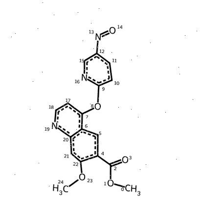 COC(=O)c1cc2c(Oc3ccc(N=O)cn3)ccnc2cc1OC